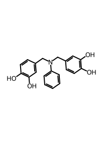 Oc1ccc(CN(Cc2ccc(O)c(O)c2)c2ccccc2)cc1O